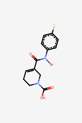 O=C(O)N1CCC=C(C(=O)N(Br)c2ccc(F)cc2)C1